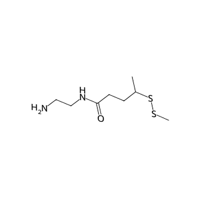 CSSC(C)CCC(=O)NCCN